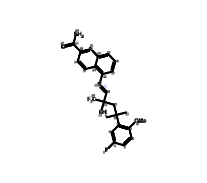 COc1ccc(F)cc1C(C)(C)CC(O)(/C=N/c1cccc2nc(C(N)=O)ccc12)C(F)(F)F